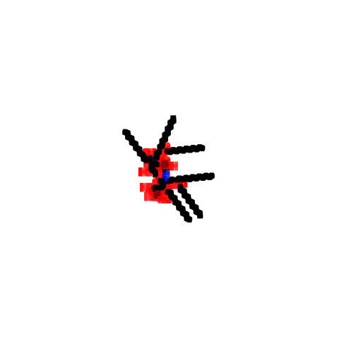 CCCCCCCCCCCC(=O)O[C@H](CCCCCCCCCCC)CC(=O)NC1[C@@H](OP(=O)(O)O)OC(CO[C@@H]2OC(CO)[C@@H](OP(=O)(O)O)[C@H](OC(=O)C[C@H](O)CCCCCCCCC)C2NC(=O)C[C@@H](CCCCCCCCCCC)OC(=O)CCCCCCCCCCC)[C@@H](O)[C@@H]1OC(=O)C[C@H](O)CCCCCCCCC